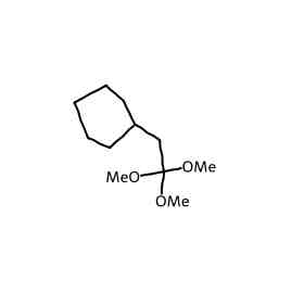 COC(CC1CCCCC1)(OC)OC